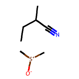 CCC(C)C#N.C[S+](C)[O-]